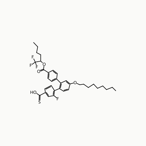 CCCCCCCCCOc1ccc(-c2ccc(C(O)=S)cc2F)c(-c2ccc(C(=O)OC(CCCC)C(F)(F)F)cc2)c1